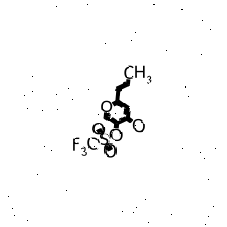 C/C=C/c1cc(=O)c(OS(=O)(=O)C(F)(F)F)co1